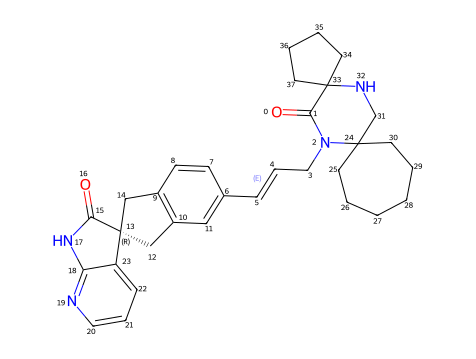 O=C1N(C/C=C/c2ccc3c(c2)C[C@@]2(C3)C(=O)Nc3ncccc32)C2(CCCCCC2)CNC12CCCC2